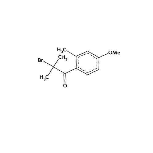 COc1ccc(C(=O)C(C)(C)Br)c(C)c1